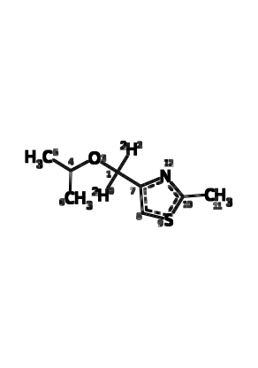 [2H]C([2H])(OC(C)C)c1csc(C)n1